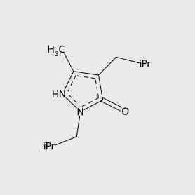 Cc1[nH]n(CC(C)C)c(=O)c1CC(C)C